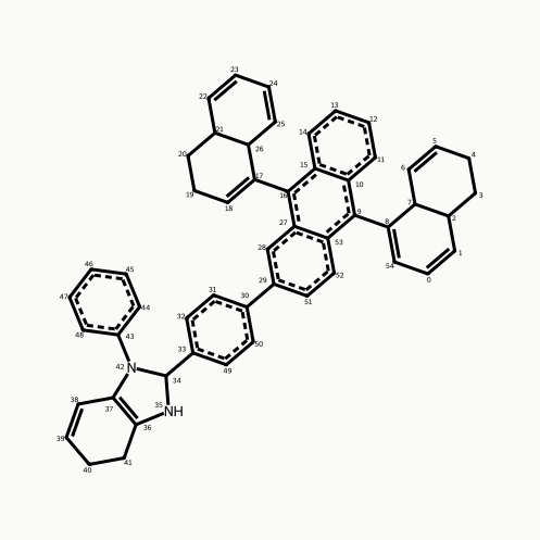 C1=CC2CCC=CC2C(c2c3ccccc3c(C3=CCCC4C=CC=CC34)c3cc(-c4ccc(C5NC6=C(C=CCC6)N5c5ccccc5)cc4)ccc23)=C1